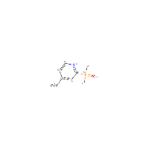 COc1ccnc(P(C)(C)=O)c1